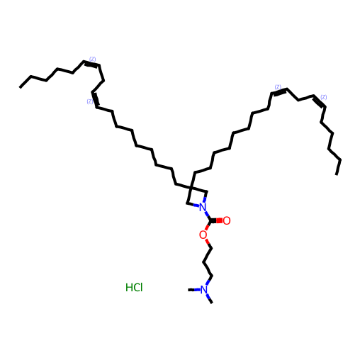 CCCCC/C=C\C/C=C\CCCCCCCCC1(CCCCCCCC/C=C\C/C=C\CCCCC)CN(C(=O)OCCCN(C)C)C1.Cl